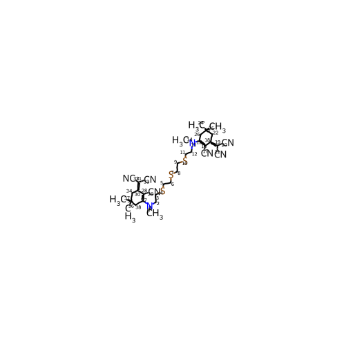 CN(CCSCCSCCSCCN(C)C1=C(C#N)C(=C(C#N)C#N)CC(C)(C)C1)C1=C(C#N)C(=C(C#N)C#N)CC(C)(C)C1